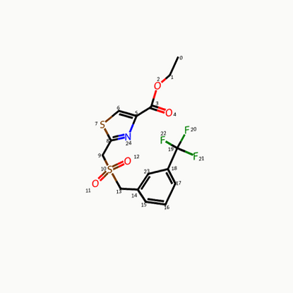 CCOC(=O)c1csc(CS(=O)(=O)Cc2cccc(C(F)(F)F)c2)n1